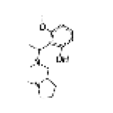 COc1cccc(O)c1C(C)N(C)CC1CCCN1C